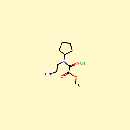 COC(=O)C(=O)N(CCN)C1CCCC1.Cl